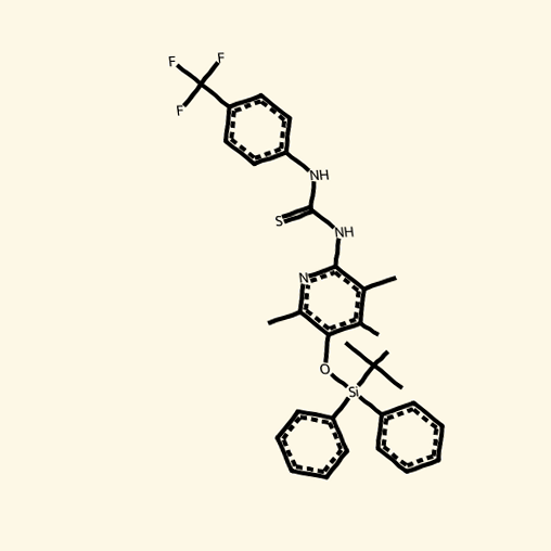 Cc1nc(NC(=S)Nc2ccc(C(F)(F)F)cc2)c(C)c(C)c1O[Si](c1ccccc1)(c1ccccc1)C(C)(C)C